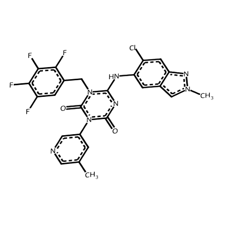 Cc1cncc(-n2c(=O)nc(Nc3cc4cn(C)nc4cc3Cl)n(Cc3cc(F)c(F)c(F)c3F)c2=O)c1